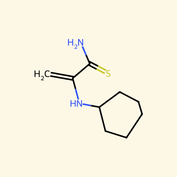 C=C(NC1CCCCC1)C(N)=S